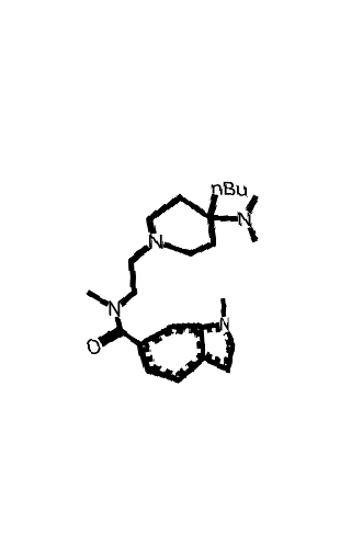 CCCCC1(N(C)C)CCN(CCN(C)C(=O)c2ccc3ccn(C)c3c2)CC1